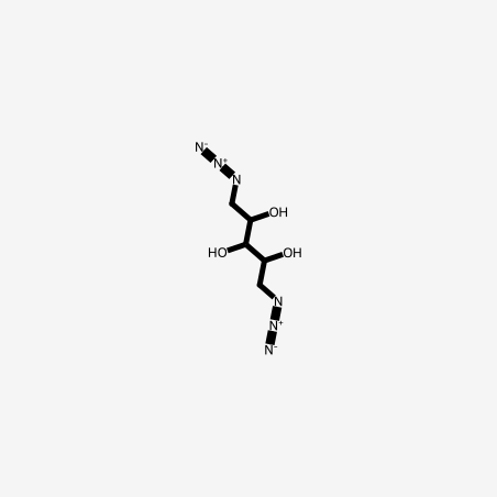 [N-]=[N+]=NCC(O)C(O)C(O)CN=[N+]=[N-]